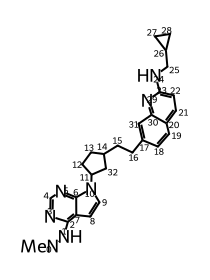 CNNc1ncnc2c1ccn2C1CCC(CCc2ccc3ccc(NCC4CC4)nc3c2)C1